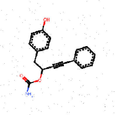 NC(=O)OC(C#Cc1ccccc1)Cc1ccc(O)cc1